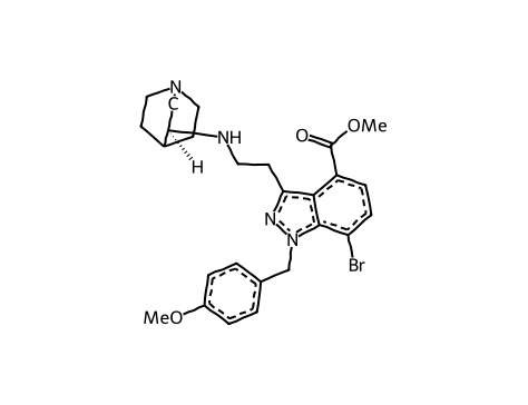 COC(=O)c1ccc(Br)c2c1c(CCN[C@@H]1CN3CCC1CC3)nn2Cc1ccc(OC)cc1